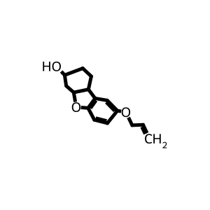 C=CCOc1ccc2c(c1)C1CCC(O)CC1O2